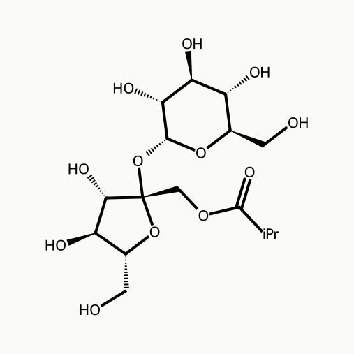 CC(C)C(=O)OC[C@@]1(O[C@H]2O[C@H](CO)[C@@H](O)[C@H](O)[C@H]2O)O[C@H](CO)[C@@H](O)[C@@H]1O